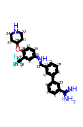 N=C(N)c1cccc(-c2cccc(CNc3ccc(OC4CCNCC4)c(C(F)(F)F)c3)c2)c1